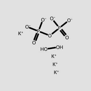 O=P([O-])([O-])OP(=O)([O-])[O-].OO.[K+].[K+].[K+].[K+]